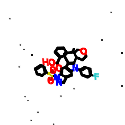 CCc1cccc(C(=O)O)c1-c1c(C2CCOCC2)n(-c2ccc(F)cc2)c2cc3cnn(S(=O)(=O)c4ccccc4)c3cc12